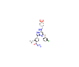 Cc1cc(-c2cnc3c(NCC4CCS(=O)(=O)CC4)cc(Sc4cccc(F)c4)nn23)ccc1C(N)=O